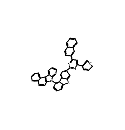 C1=CC(c2cc(-c3ccc4ccccc4c3)nc(-c3ccc4c(c3)sc3cccc(-n5c6ccccc6c6c7ccccc7ccc65)c34)n2)=CCC1